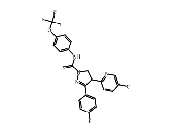 Fc1ccc(C2=NN(C(=S)Nc3ccc(OC(F)(F)F)cc3)CC2c2ccc(Cl)cn2)cc1